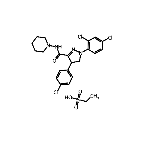 CCS(=O)(=O)O.O=C(NN1CCCCC1)C1=NN(c2ccc(Cl)cc2Cl)CC1c1ccc(Cl)cc1